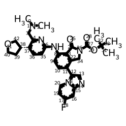 CN(C)Cc1nc(Nc2ccc(-c3cnc4cc(F)ccn34)c3c2C(=O)N(C(=O)OC(C)(C)C)C3)ccc1[C@@H]1CCOC1